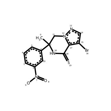 CC1(c2cccc([N+](=O)[O-])c2)Cn2ncc(Br)c2C(=S)N1